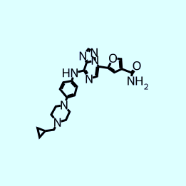 NC(=O)c1coc(-c2cnc(Nc3ccc(N4CCN(CC5CC5)CC4)cc3)c3ncnn23)c1